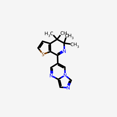 CC1(C)N=C(c2cnc3cncn3c2)c2sccc2C1(C)C